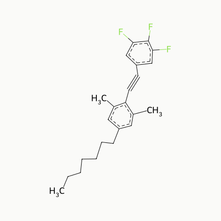 CCCCCCCc1cc(C)c(C#Cc2cc(F)c(F)c(F)c2)c(C)c1